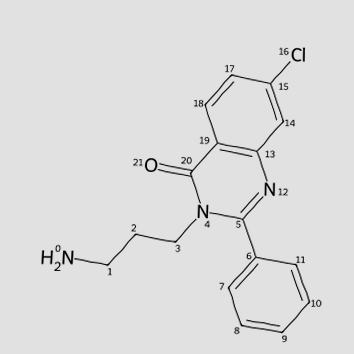 NCCCn1c(-c2ccccc2)nc2cc(Cl)ccc2c1=O